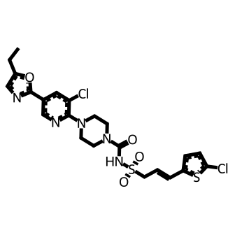 CCc1cnc(-c2cnc(N3CCN(C(=O)NS(=O)(=O)CC=Cc4ccc(Cl)s4)CC3)c(Cl)c2)o1